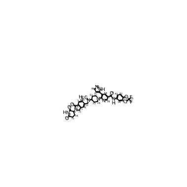 CN(Cc1cc2c(cc1F)C(=O)N(C1CCC(=O)NC1=O)C2)C1CCN(c2ncc(C(=O)Nc3ccc(OC(F)(F)Cl)cc3)cc2-c2ccn[nH]2)CC1